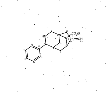 CCOC(=O)N1C2CC3CC1(CNC3c1ccccc1)C[C@H]2O